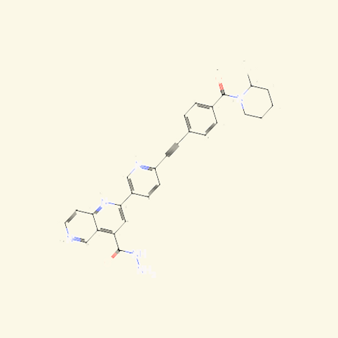 NNC(=O)c1cc(-c2ccc(C#Cc3ccc(C(=O)N4CCCCC4C(=O)O)cc3)nc2)nc2ccncc12